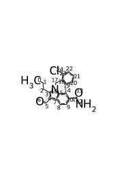 CCCc1c(C=O)c2ccc(C(N)=O)cc2n1Cc1ccccc1Cl